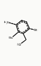 CC(C)(C)c1c(N)ccc(O)c1CO